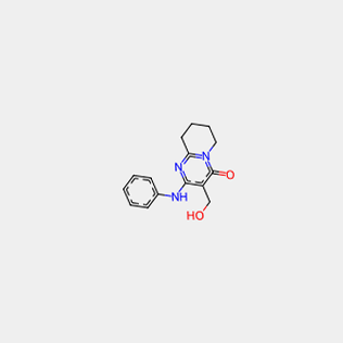 O=c1c(CO)c(Nc2ccccc2)nc2n1CCCC2